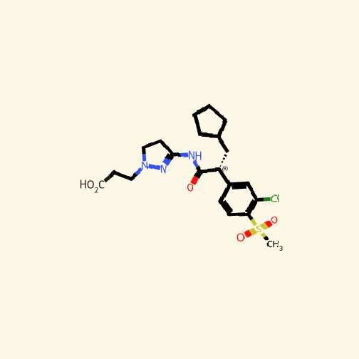 CS(=O)(=O)c1ccc([C@@H](CC2CCCC2)C(=O)NC2=NN(CCC(=O)O)CC2)cc1Cl